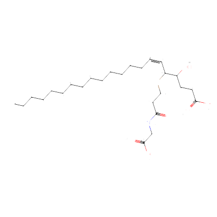 CCCCCCCCCCCCCC/C=C\C(SCCC(=O)NCC(=O)O)C(O)CCC(=O)O